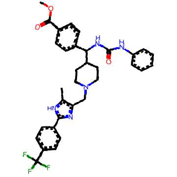 COC(=O)c1ccc(C(NC(=O)Nc2ccccc2)C2CCN(Cc3nc(-c4ccc(C(F)(F)F)cc4)[nH]c3C)CC2)cc1